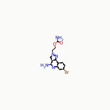 NC(=O)OCCn1cc2c(N)nc3cc(Br)ccc3c2n1